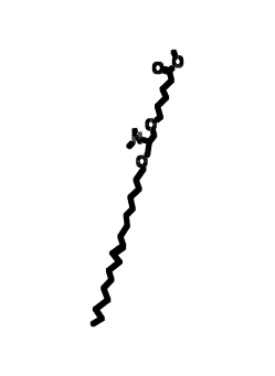 CCCCCCCC/C=C/CCCCCCCCOCC(COCCCCCC(=O)OC)N(C)C